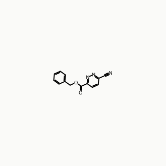 N#Cc1ccc(C(=O)OCc2ccccc2)nn1